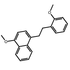 COc1ccccc1CCc1ccc(OC)c2ccccc12